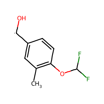 Cc1cc([CH]O)ccc1OC(F)F